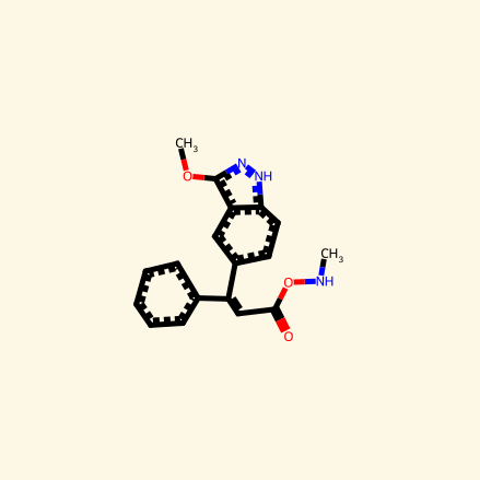 CNOC(=O)/C=C(/c1ccccc1)c1ccc2[nH]nc(OC)c2c1